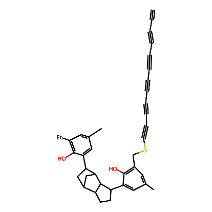 C#CC#CC#CC#CC#CC#CSCc1cc(C)cc(C2CCC3C4CC(c5cc(C)cc(CC)c5O)C(C4)C23)c1O